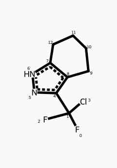 FC(F)(Cl)c1n[nH]c2c1CCCC2